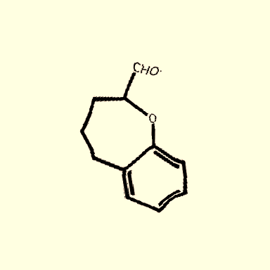 O=[C]C1CCCc2ccccc2O1